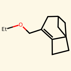 CCOCC1=C2CCC23CC(C1)C3